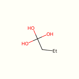 [CH2]CCC(O)(O)O